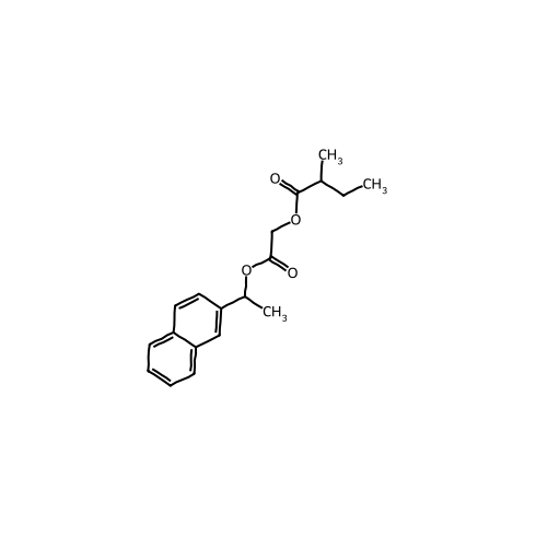 CCC(C)C(=O)OCC(=O)OC(C)c1ccc2ccccc2c1